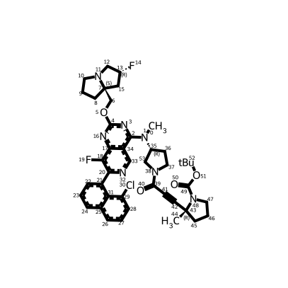 CN(c1nc(OC[C@@]23CCCN2C[C@H](F)C3)nc2c(F)c(-c3cccc4cccc(Cl)c34)ncc12)[C@@H]1CCN(C(=O)C#C[C@@]2(C)CCCN2C(=O)OC(C)(C)C)C1